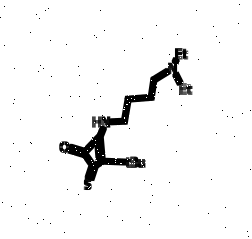 CCN(CC)CCCCNc1c(C(C)(C)C)c(=S)c1=O